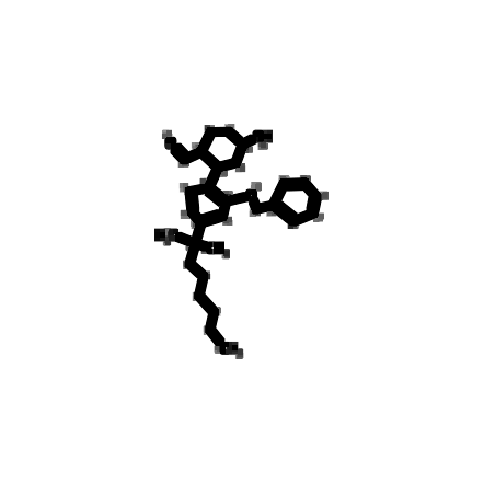 CCCCCCC(C)(C)c1ccc(C2CC(O)CCC2C=O)c(OCc2ccccc2)c1